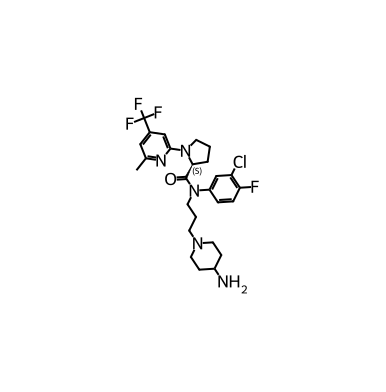 Cc1cc(C(F)(F)F)cc(N2CCC[C@H]2C(=O)N(CCCN2CCC(N)CC2)c2ccc(F)c(Cl)c2)n1